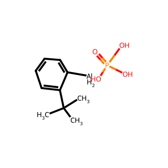 CC(C)(C)c1cccc[c]1[AlH2].O=P(O)(O)O